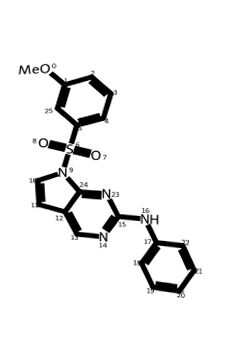 COc1cccc(S(=O)(=O)n2ccc3cnc(Nc4cc[c]cc4)nc32)c1